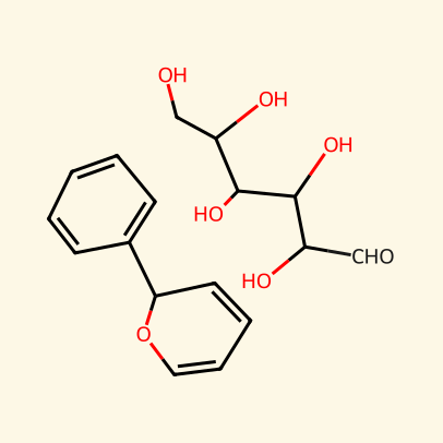 C1=COC(c2ccccc2)C=C1.O=CC(O)C(O)C(O)C(O)CO